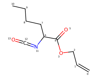 C=CCOC(=O)C(CCCC)N=C=O